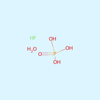 F.O.O=P(O)(O)O